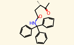 CC(=O)[C@@H](C)CC(=O)NC(c1ccccc1)(c1ccccc1)c1ccccc1